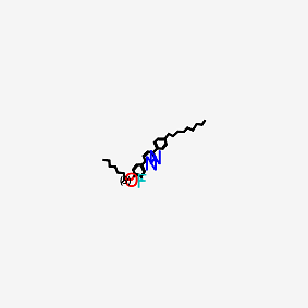 CCCCCCCCCc1ccc(-c2ccc(-c3ccc(O[C@@H](C)CCCCCC)c(F)c3)nn2)cc1